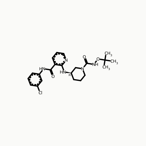 CC(C)(C)ONC(=O)N1CCC[C@@H](Nc2ncccc2C(=O)Nc2cccc(Cl)c2)C1